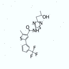 Cc1sc(-c2cccc(C(F)(F)F)c2)cc1C(=O)Nc1nc(CC(C)O)ns1